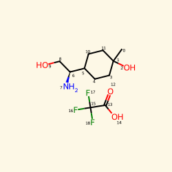 CC1(O)CCC([C@@H](N)CO)CC1.O=C(O)C(F)(F)F